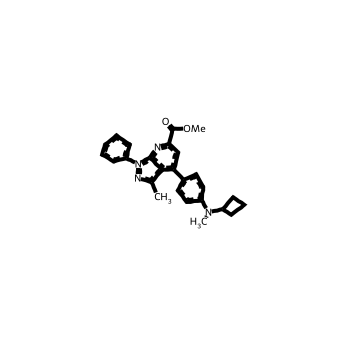 COC(=O)c1cc(-c2ccc(N(C)C3CCC3)cc2)c2c(C)nn(-c3ccccc3)c2n1